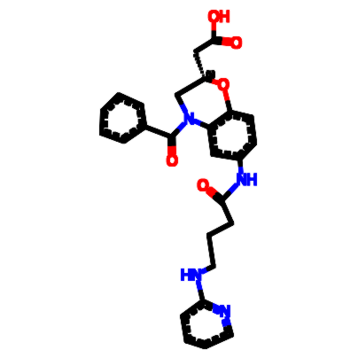 O=C(O)C[C@H]1CN(C(=O)c2ccccc2)c2cc(NC(=O)CCCNc3ccccn3)ccc2O1